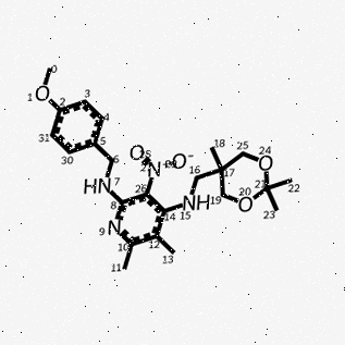 COc1ccc(CNc2nc(C)c(C)c(NCC3(C)COC(C)(C)OC3)c2[N+](=O)[O-])cc1